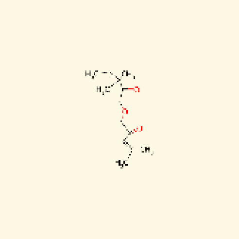 CCC(C)(C)C(=O)COCC(=O)C=C(C)C